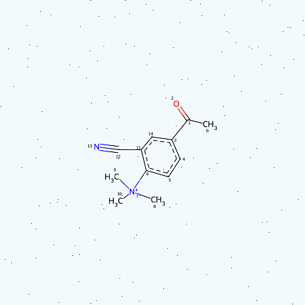 CC(=O)c1ccc([N+](C)(C)C)c(C#N)c1